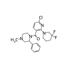 CN1CCN(C(=O)c2ccc(Cl)nc2N2CCCC(F)(F)C2)C(c2ccccc2)C1